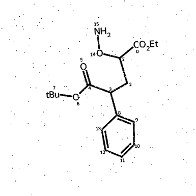 CCOC(=O)C(CC(C(=O)OC(C)(C)C)c1ccccc1)ON